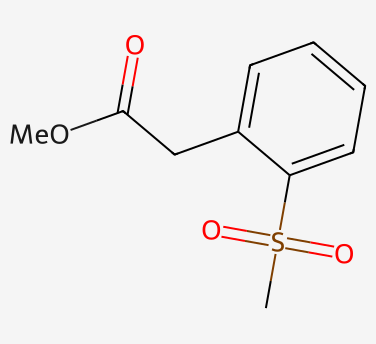 COC(=O)Cc1ccccc1S(C)(=O)=O